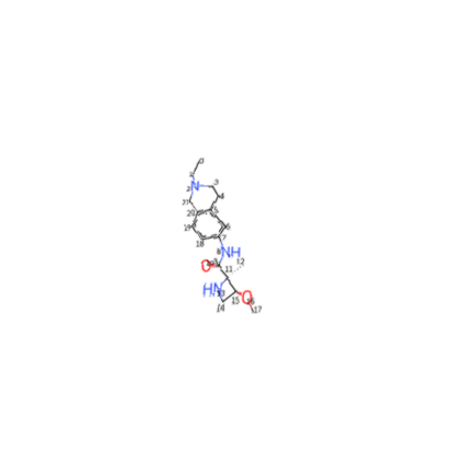 CCN1CCc2cc(NC(=O)[C@]3(C)NC[C@@H]3OC)ccc2C1